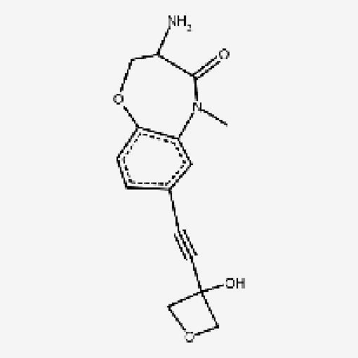 CN1C(=O)C(N)COc2ccc(C#CC3(O)COC3)cc21